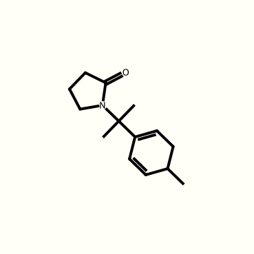 CC1C=CC(C(C)(C)N2CCCC2=O)=CC1